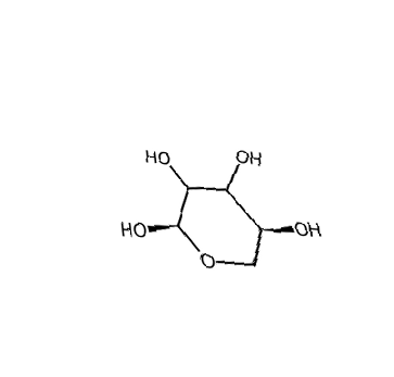 OC1C(O)[C@@H](O)CO[C@H]1O